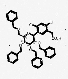 O=C(O)Cc1cc(C2O[C@H](COCc3ccccc3)[C@@H](OCc3ccccc3)[C@H](OCc3ccccc3)[C@H]2OCc2ccccc2)c(Cl)cc1Cl